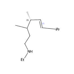 CCNCCC(C)[C@H](C)/C=C/C(C)C